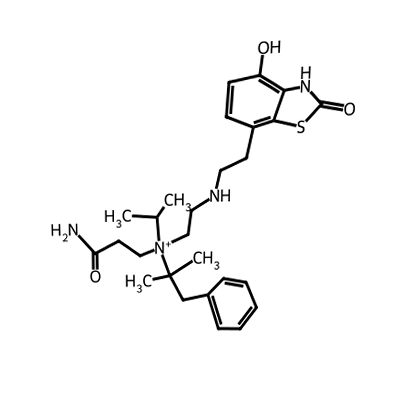 CC(C)[N+](CCNCCc1ccc(O)c2[nH]c(=O)sc12)(CCC(N)=O)C(C)(C)Cc1ccccc1